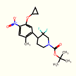 Cc1cc([N+](=O)[O-])c(OC2CC2)cc1C1CCN(C(=O)OC(C)(C)C)CC1(F)F